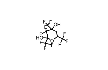 OC1(C(F)(F)F)CC(C(F)(F)F)OC(O)(C(F)(F)F)C1(F)F